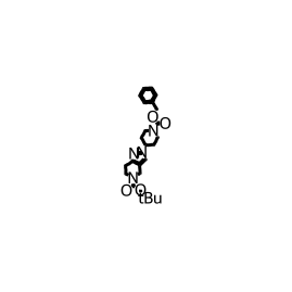 CC(C)(C)OC(=O)N1CCc2nn(C3CCN(C(=O)OCc4ccccc4)CC3)cc2C1